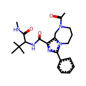 CNC(=O)C(NC(=O)c1nc(-c2ccccc2)n2c1CN(C(C)=O)CCC2)C(C)(C)C